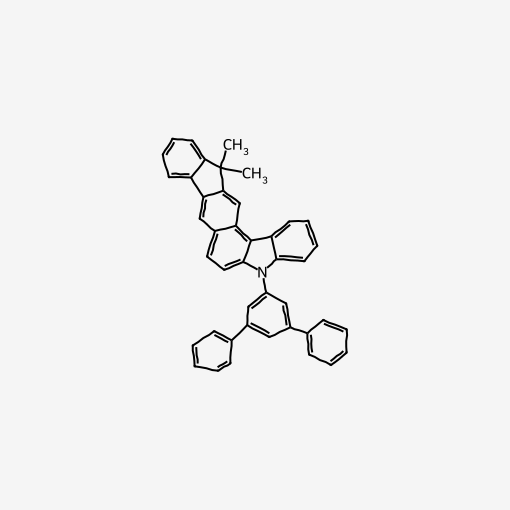 CC1(C)c2ccccc2-c2cc3ccc4c(c3cc21)c1ccccc1n4-c1cc(-c2ccccc2)cc(-c2ccccc2)c1